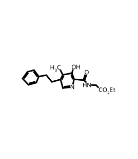 CCOC(=O)CNC(=O)c1ncc(CCc2ccccc2)c(C)c1O